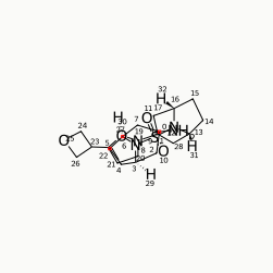 NC1C[C@H]2CC[C@@H](C1)N2S(=O)(=O)N1[C@@H]2CC[C@H]1CC(N1CC=C(C3COC3)O1)C2